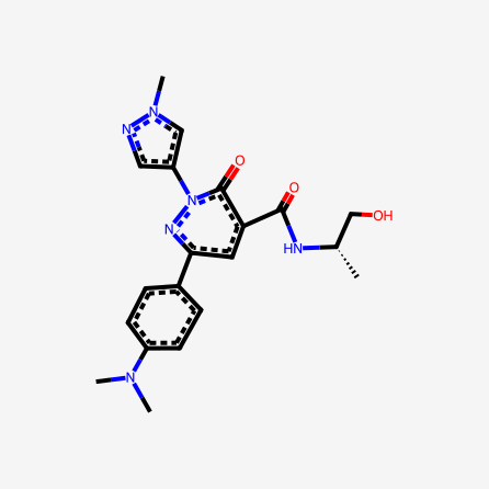 C[C@@H](CO)NC(=O)c1cc(-c2ccc(N(C)C)cc2)nn(-c2cnn(C)c2)c1=O